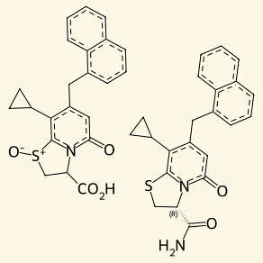 NC(=O)[C@@H]1CSc2c(C3CC3)c(Cc3cccc4ccccc34)cc(=O)n21.O=C(O)C1C[S+]([O-])c2c(C3CC3)c(Cc3cccc4ccccc34)cc(=O)n21